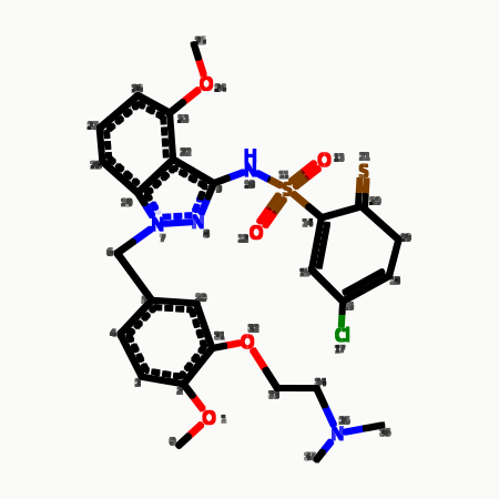 COc1ccc(Cn2nc(NS(=O)(=O)C3=CC(Cl)=CCC3=S)c3c(OC)cccc32)cc1OCCN(C)C